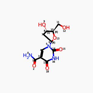 NC(=O)c1cn([C@H]2C[C@H](O)[C@@H](CO)O2)c(=O)[nH]c1=O